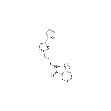 O=C(NCCCc1ccc(-c2cccs2)s1)c1ccccc1C(F)(F)F